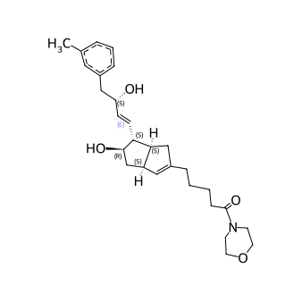 Cc1cccc(C[C@H](O)/C=C/[C@@H]2[C@H]3CC(CCCCC(=O)N4CCOCC4)=C[C@H]3C[C@H]2O)c1